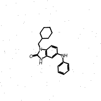 O=c1[nH]c2cc(Nc3ccccc3)ccc2n1CC1CCCCC1